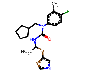 O=C(O)C(NC(=O)N(CC1CCCC1)c1ccc(F)c(C(F)(F)F)c1)Sc1cncs1